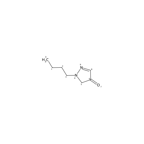 CCCCN1CC(=O)C=N1